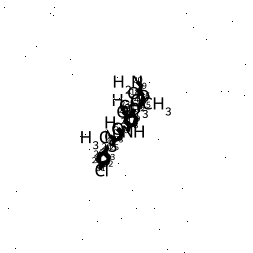 CN/C(=C\C(=O)Nc1ccc(OCC(C)(C)OC(=O)CN)c(OC)c1)SCc1ccc(Cl)cc1